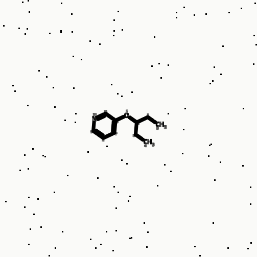 CCC(CC)Oc1c[c]cnc1